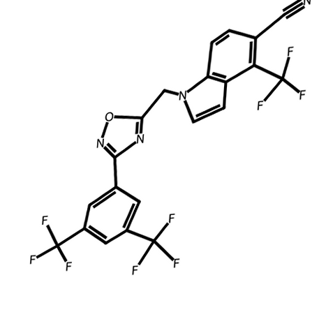 N#Cc1ccc2c(ccn2Cc2nc(-c3cc(C(F)(F)F)cc(C(F)(F)F)c3)no2)c1C(F)(F)F